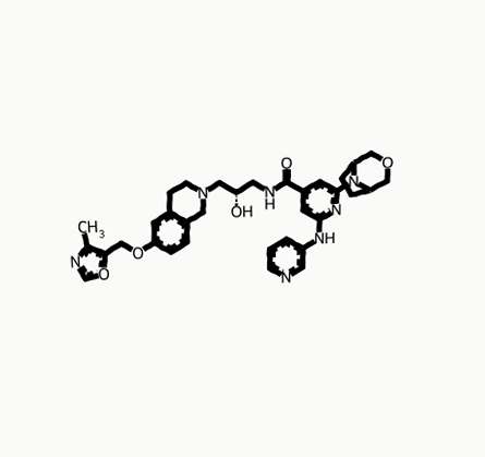 Cc1ncoc1COc1ccc2c(c1)CCN(C[C@@H](O)CNC(=O)c1cc(Nc3cccnc3)nc(N3C4CCC3COC4)c1)C2